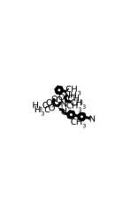 Cc1cc(CCC[C@@H](C(=O)N[C@H](C(=O)N[C@H](C)c2ccccc2)C(C)(C)C)[C@@H]2OC(C)(C)OC2=O)ccc1-c1ccc(C#N)cc1